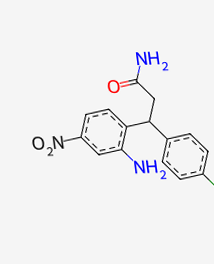 NC(=O)CC(c1ccc(F)cc1)c1ccc([N+](=O)[O-])cc1N